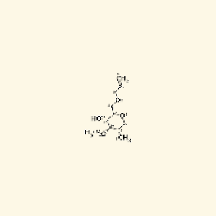 C=CCOC[C@H]1OC[C@H](C)[C@@H](OC)[C@@H]1O